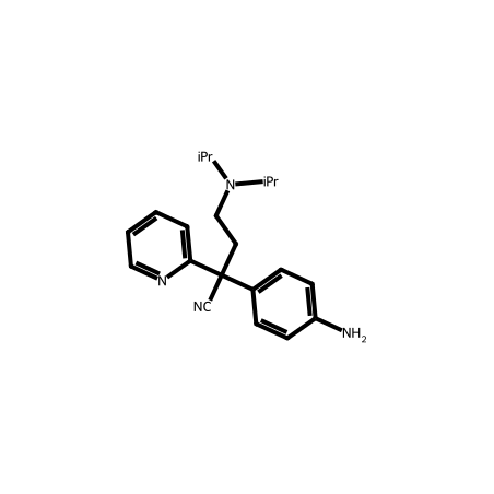 CC(C)N(CCC(C#N)(c1ccc(N)cc1)c1ccccn1)C(C)C